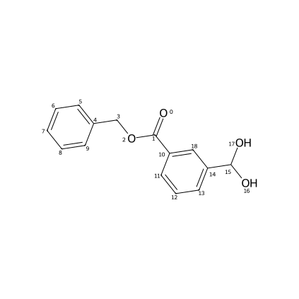 O=C(OCc1ccccc1)c1cccc(C(O)O)c1